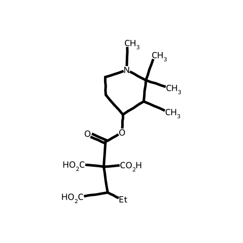 CCC(C(=O)O)C(C(=O)O)(C(=O)O)C(=O)OC1CCN(C)C(C)(C)C1C